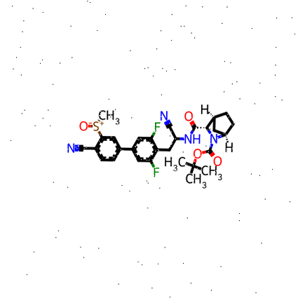 C[S+]([O-])c1cc(-c2cc(F)c(CC(C#N)NC(=O)[C@@H]3[C@H]4CC[C@H](C4)N3C(=O)OC(C)(C)C)c(F)c2)ccc1C#N